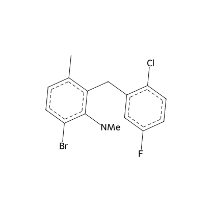 CNc1c(Br)ccc(C)c1Cc1cc(F)ccc1Cl